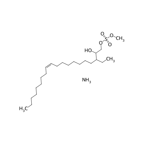 CCCCCCCC/C=C\CCCCCCCC(CC)C(O)COS(=O)(=O)OC.N